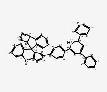 C1=CC2c3ccccc3C3(c4ccccc4Oc4ccc(-c5ccc(C6=CC(c7ccccc7)=CC(c7ccccc7)N6)cc5)cc43)C2C=C1